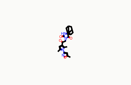 Cc1cc(-n2c(C)cc(C(=O)CN3C(=O)NC4(C3=O)C3CC5CC(C3)CC4C5)c2C)no1